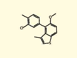 COc1ccc2s[c]c(C)c2c1-c1ccc(C)c(Cl)c1